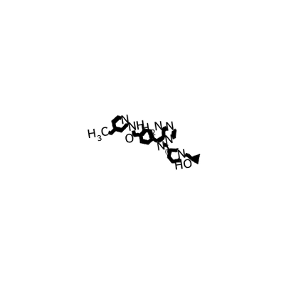 CCc1ccnc(NC(=O)c2ccc(-c3nc([C@@H]4CCCN(CC5(O)CC5)C4)n4ccnc(N)c34)cc2)c1